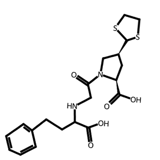 O=C(O)C(CCc1ccccc1)NCC(=O)N1C[C@@H](C2SCCS2)C[C@H]1C(=O)O